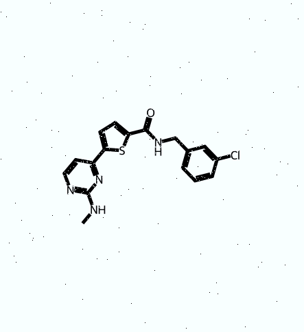 CNc1nccc(-c2ccc(C(=O)NCc3cccc(Cl)c3)s2)n1